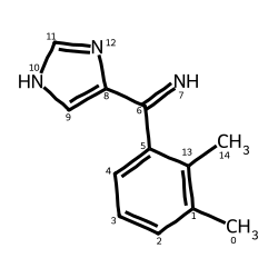 Cc1cccc(C(=N)c2c[nH]cn2)c1C